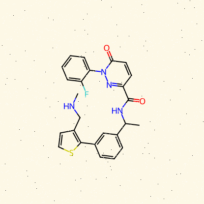 CNCc1ccsc1-c1cccc(C(C)NC(=O)c2ccc(=O)n(-c3ccccc3F)n2)c1